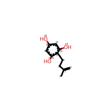 C=C(C)CCc1c(O)cc(O)cc1O